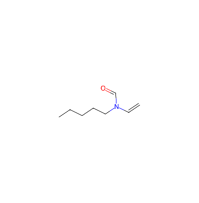 C=CN(C=O)CCCCC